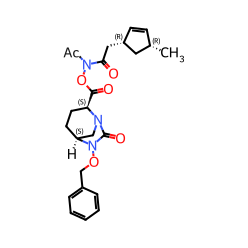 CC(=O)N(OC(=O)[C@@H]1CC[C@H]2CN1C(=O)N2OCc1ccccc1)C(=O)C[C@@H]1C=C[C@H](C)C1